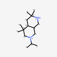 CC(C)N1CC2CNC(C)(C)CC2C(C)(C)C1